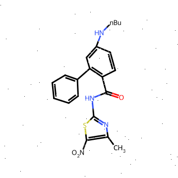 CCCCNc1ccc(C(=O)Nc2nc(C)c([N+](=O)[O-])s2)c(-c2ccccc2)c1